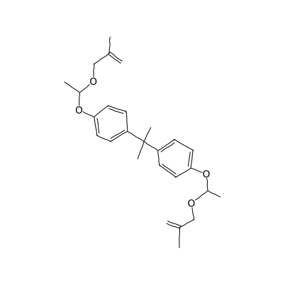 C=C(C)COC(C)Oc1ccc(C(C)(C)c2ccc(OC(C)OCC(=C)C)cc2)cc1